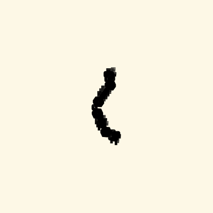 O=S(=O)(Oc1cccc(C(F)(F)C(F)(F)C(F)(F)c2ccc(Oc3ccc(C(F)(F)C(F)(F)C(F)(F)c4cccc(OS(=O)(=O)C(F)(F)F)c4)cc3)cc2)c1)C(F)(F)F